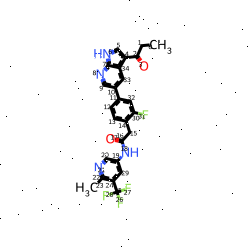 CCC(=O)c1c[nH]c2ncc(-c3ccc(CC(=O)Nc4cnc(C)c(C(F)(F)F)c4)c(F)c3)cc12